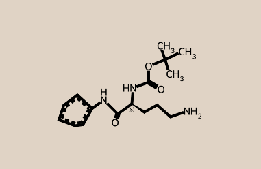 CC(C)(C)OC(=O)N[C@@H](CCCN)C(=O)Nc1ccccc1